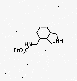 CCOC(=O)NCC1CC=CC2CNCC21